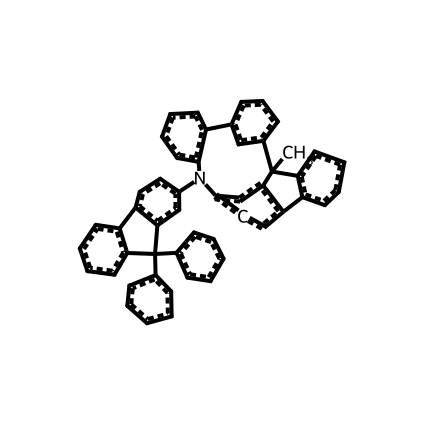 CC12c3cccc(c3)-c3ccccc3N(c3ccc4c(c3)C(c3ccccc3)(c3ccccc3)c3ccccc3-4)c3ccc(c1c3)-c1ccccc12